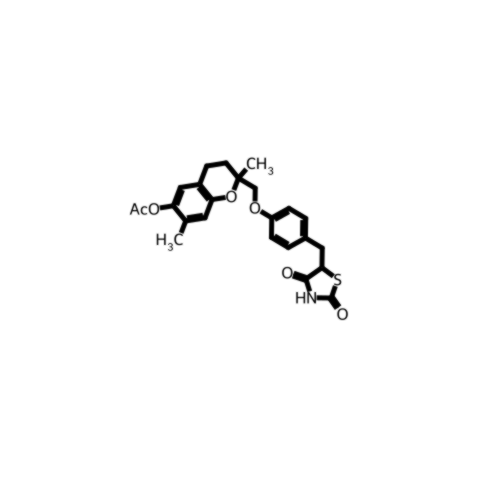 CC(=O)Oc1cc2c(cc1C)OC(C)(COc1ccc(CC3SC(=O)NC3=O)cc1)CC2